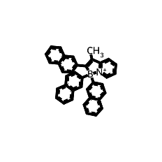 CC1=C(c2ccc3ccccc3c2)[B-](c2ccc3ccccc3c2)(c2ccc3ccccc3c2)[n+]2ccccc21